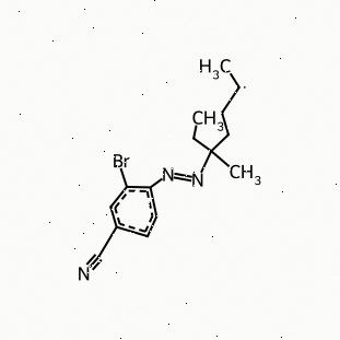 C[CH]CCC(C)(CC)/N=N/c1ccc(C#N)cc1Br